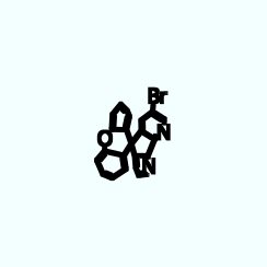 Brc1cnc2c(c1)C1(c3ccccc3Oc3ccccc31)c1cccnc1-2